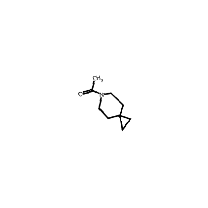 CC(=O)N1CCC2(CC1)CC2